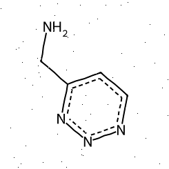 NCc1ccnnn1